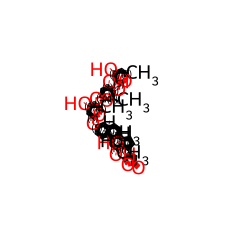 CC[C@H]1O[C@@H](O[C@H]2[C@@H](O)C[C@H](O[C@H]3CC[C@@]4(C)[C@H](CC[C@@H]5[C@@H]4C[C@@H](O)[C@]4(C)[C@@H](C6=CC(=O)OC6)CC[C@]54O)C3)O[C@@H]2C)C[C@H](O)[C@@H]1O[C@H]1C[C@H](O)C[C@@H](C)O1